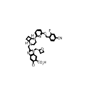 N#Cc1ccc(COc2cccc(N3CCN(Cc4nc5cc(Cl)c(C(=O)O)cc5n4C[C@@H]4CCO4)[C@H]4CC[C@H]43)n2)c(F)c1